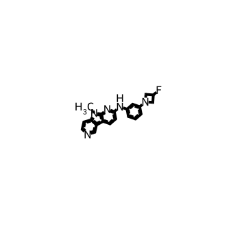 Cn1c2ccncc2c2ccc(Nc3cccc(N4CC(F)C4)c3)nc21